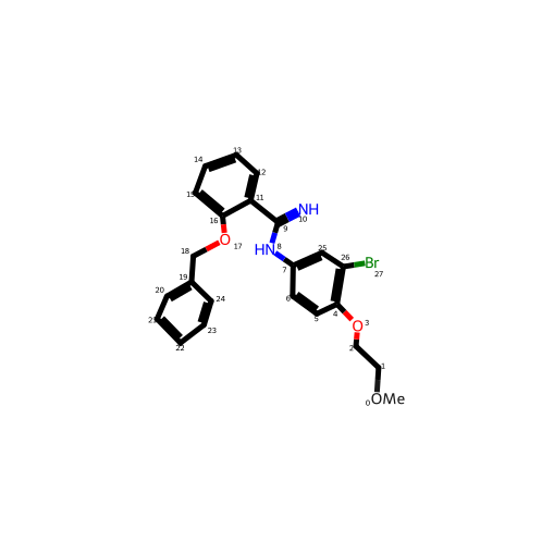 COCCOc1ccc(NC(=N)c2ccccc2OCc2ccccc2)cc1Br